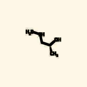 BBC[C@@H](C)O